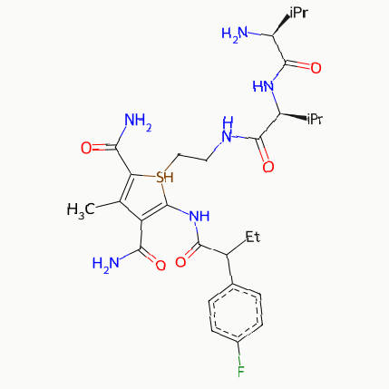 CCC(C(=O)NC1=C(C(N)=O)C(C)=C(C(N)=O)[SH]1CCNC(=O)[C@@H](NC(=O)[C@@H](N)C(C)C)C(C)C)c1ccc(F)cc1